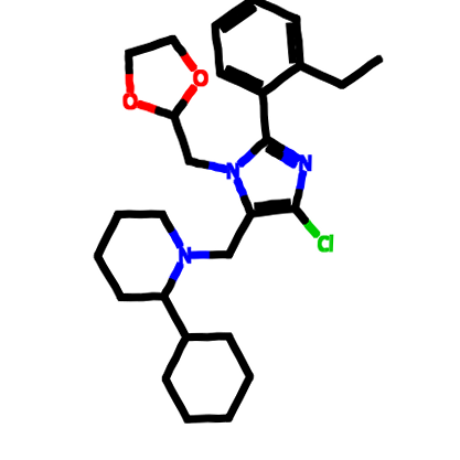 CCc1ccccc1-c1nc(Cl)c(CN2CCCCC2C2CCCCC2)n1CC1OCCO1